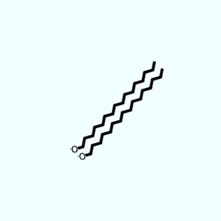 CCCCCCCCCCCCCCCC[O].CCCCCCCCCCCCCCCC[O]